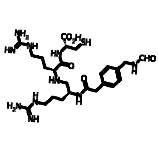 N=C(N)NCCC[C@@H](CN[C@@H](CCCNC(=N)N)C(=O)N[C@@H](CS)C(=O)O)NC(=O)Cc1ccc(CNC=O)cc1